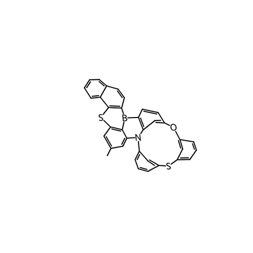 Cc1cc2c3c(c1)N1c4cccc(c4)Sc4cccc(c4)Oc4ccc(c1c4)B3c1ccc3ccccc3c1S2